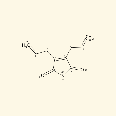 C=CCC1=C(CC=C)C(=O)NC1=O